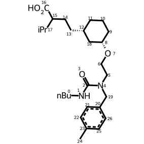 CCCCNC(=O)N(CCO[C@H]1CCC[C@@H](CCC(C(=O)O)C(C)C)C1)Cc1ccc(C)cc1